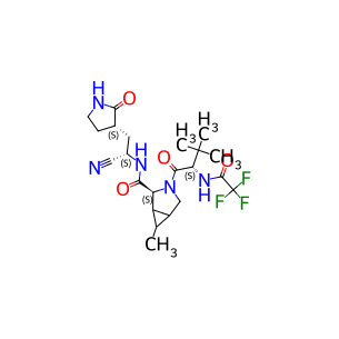 CC1C2CN(C(=O)[C@@H](NC(=O)C(F)(F)F)C(C)(C)C)[C@H](C(=O)N[C@H](C#N)C[C@@H]3CCNC3=O)C12